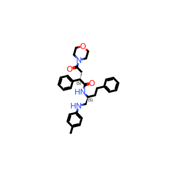 Cc1ccc(NC[C@H](CCc2ccccc2)NC(=O)[C@@H](CC(=O)N2CCOCC2)c2ccccc2)cc1